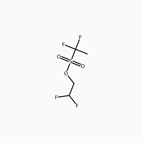 CC(F)(F)S(=O)(=O)OCC(F)F